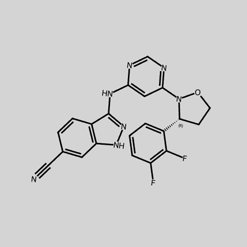 N#Cc1ccc2c(Nc3cc(N4OCC[C@@H]4c4cccc(F)c4F)ncn3)n[nH]c2c1